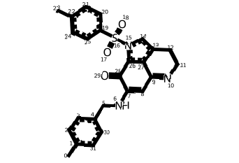 Cc1ccc(CNC2=CC3=NCCc4cn(S(=O)(=O)c5ccc(C)cc5)c(c43)C2=O)cc1